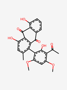 COc1cc(OC)c(-c2c(C)cc(O)c3c2C(=O)c2cccc(O)c2C3=O)c(O)c1C(C)=O